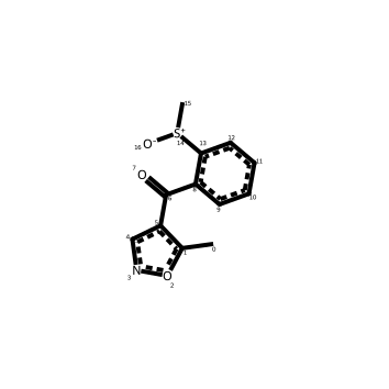 Cc1oncc1C(=O)c1ccccc1[S+](C)[O-]